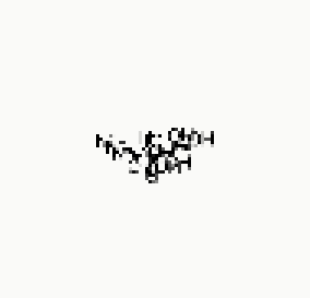 [N-]=[N+]=NCC(=O)N[C@](O)(C=O)[C@@H](O)[C@H](O)[C@H](O)CO